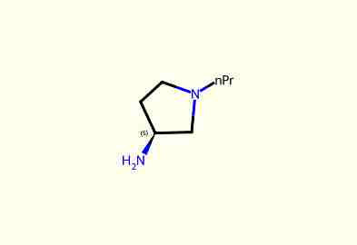 CCCN1CC[C@H](N)C1